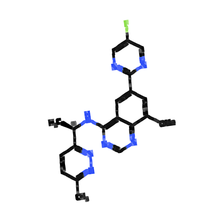 COc1cc(-c2ncc(F)cn2)cc2c(N[C@H](C)c3ccc(C)nn3)ncnc12